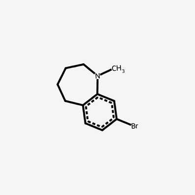 CN1CCCCc2ccc(Br)cc21